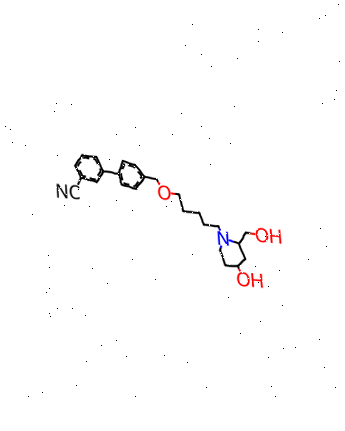 N#Cc1cccc(-c2ccc(COCCCCCN3CCC(O)CC3CO)cc2)c1